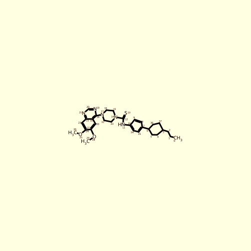 CCCC1CCC(c2ccc(NC(=S)N3CCN(c4ncnc5cc(OC)c(OC)cc45)CC3)cc2)CC1